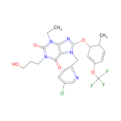 CCn1c(=O)n(CCCO)c(=O)c2c1nc(OC1C=C(OC(F)(F)F)C=CC1C)n2Cc1ccc(Cl)cn1